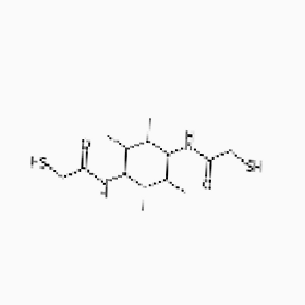 CC1C(C)C(NC(=O)CS)C(C)C(C)C1NC(=O)CS